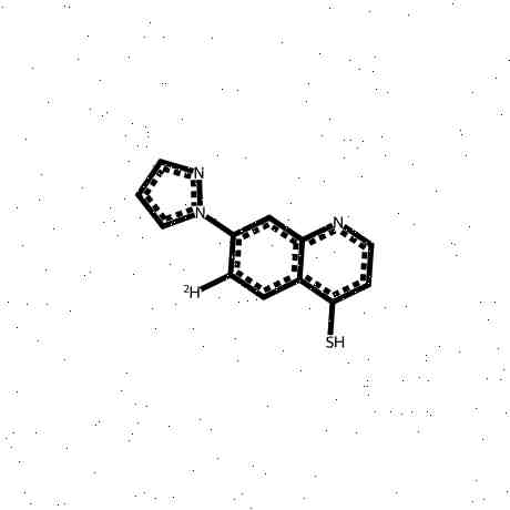 [2H]c1cc2c(S)ccnc2cc1-n1cccn1